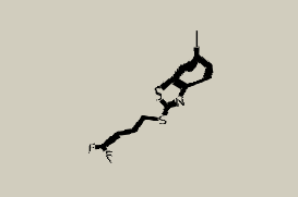 FC(F)=CCCSc1nc2ccc(I)cc2s1